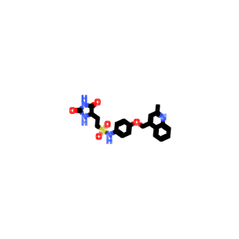 Cc1cc(COc2ccc(NS(=O)(=O)CCC3NC(=O)NC3=O)cc2)c2ccccc2n1